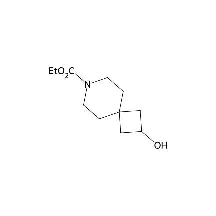 CCOC(=O)N1CCC2(CC1)CC(O)C2